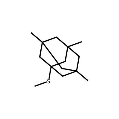 CSC12CC3(C)CC(C)(CC(C)(C3)C1)C2